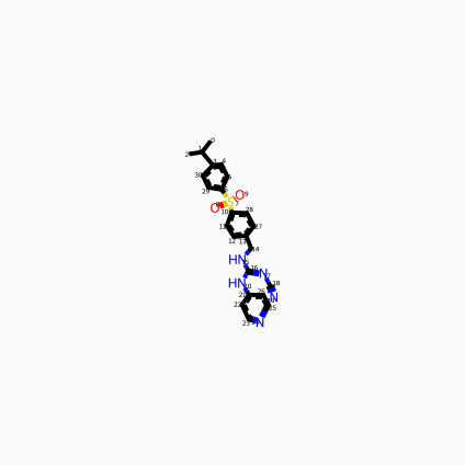 CC(C)c1ccc(S(=O)(=O)c2ccc(CNC(=NC#N)Nc3ccncc3)cc2)cc1